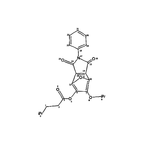 CC(C)CCC(=O)Oc1c(OC(C)C)c2oc1c1c2C(=O)N(c2ccccc2)C1=O